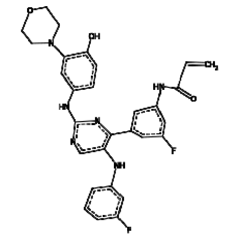 C=CC(=O)Nc1cc(F)cc(-c2nc(Nc3ccc(O)c(N4CCOCC4)c3)ncc2Nc2cccc(F)c2)c1